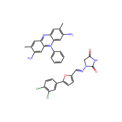 Cc1cc2nc3cc(C)c(N)cc3[n+](-c3ccccc3)c2cc1N.O=C1CN(N=Cc2ccc(-c3ccc(Cl)c(Cl)c3)o2)C(=O)N1